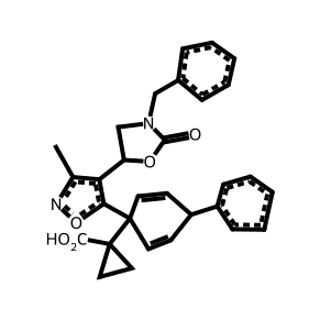 Cc1noc(C2(C3(C(=O)O)CC3)C=CC(c3ccccc3)C=C2)c1C1CN(Cc2ccccc2)C(=O)O1